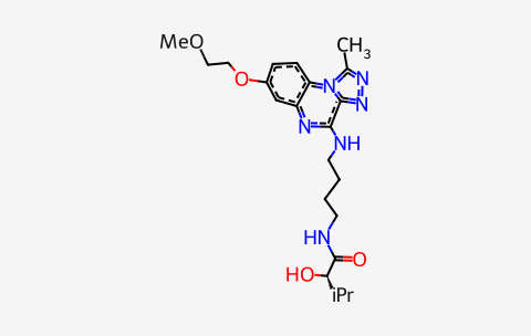 COCCOc1ccc2c(c1)nc(NCCCCNC(=O)[C@H](O)C(C)C)c1nnc(C)n12